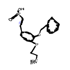 COCCOc1ccc(/C=C/[N+](=O)O)cc1OCc1ccccc1